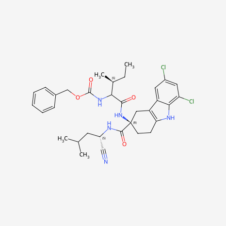 CC[C@H](C)C(NC(=O)OCc1ccccc1)C(=O)N[C@]1(C(=O)N[C@H](C#N)CC(C)C)CCc2[nH]c3c(Cl)cc(Cl)cc3c2C1